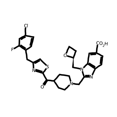 O=C(O)c1ccc2nc(CN3CCC(C(=O)c4nc(Cc5ccc(Cl)cc5F)cs4)CC3)n(C[C@@H]3CCO3)c2c1